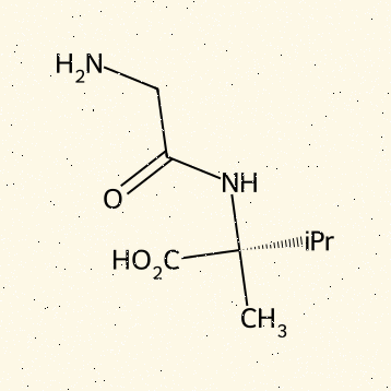 CC(C)[C@@](C)(NC(=O)CN)C(=O)O